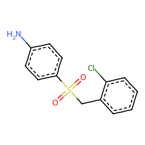 Nc1ccc(S(=O)(=O)Cc2ccccc2Cl)cc1